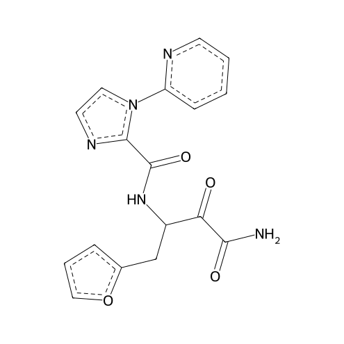 NC(=O)C(=O)C(Cc1ccco1)NC(=O)c1nccn1-c1ccccn1